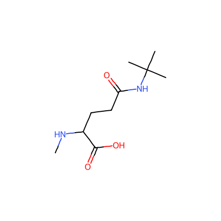 CNC(CCC(=O)NC(C)(C)C)C(=O)O